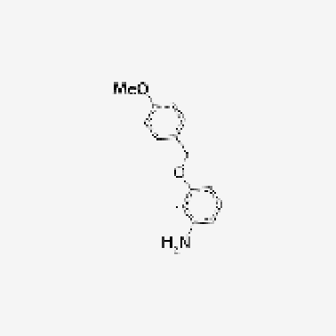 COc1ccc(COc2[c]c(N)ccc2)cc1